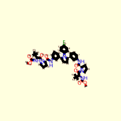 COC(=O)N[C@H](C(=O)N1CCC[C@H]1C(=O)Nc1cccc([C@H]2CC[C@H](c3cccc(NC(=O)[C@@H]4CCCN4C(=O)[C@@H](NC(=O)OC)C(C)(C)C)c3)N2c2ccc(F)cc2)c1)C(C)(C)C